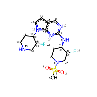 CS(=O)(=O)N1CC[C@@H](Nc2ncc3ccn([C@H]4CCNC[C@H]4F)c3n2)[C@H](F)C1